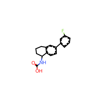 O=C(O)NC1CCCc2cc(-c3cccc(F)c3)ccc21